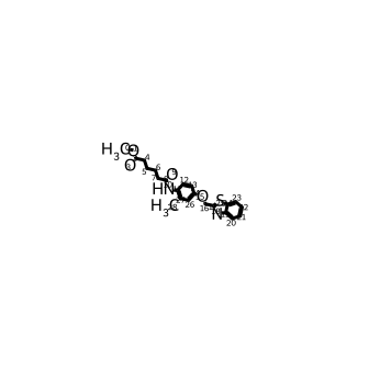 COC(=O)CCCCC(=O)Nc1ccc(OCc2nc3ccccc3s2)cc1C